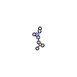 c1ccc(C2c3ccccc3-c3cc(-c4ccc5c(c4)c4ccccc4n5-c4ccc5ccccc5c4)ccc32)cc1